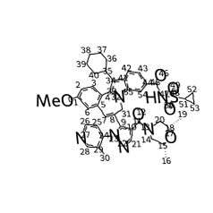 COc1ccc2c(c1)C=C(c1c(C(=O)N3C[C@@H](C)O[C@@H](C)C3)cnn1-c1ccncc1C)Cn1c-2c(C2CCCCC2)c2ccc(C(=O)NS(=O)(=O)C3CC3)cc21